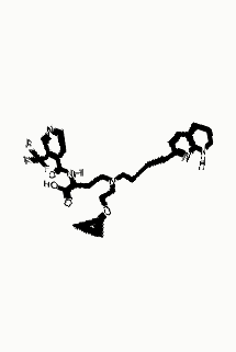 O=C(NC(CCN(CCCCc1ccc2c(n1)NCCC2)CCOC1CC1)C(=O)O)c1ccncc1C(F)(F)F